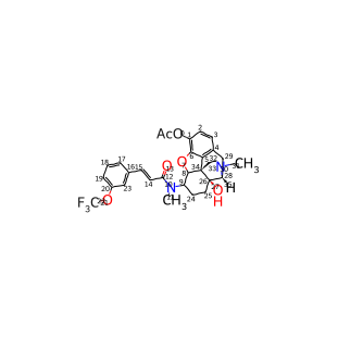 CC(=O)Oc1ccc2c3c1OC1C(N(C)C(=O)/C=C/c4cccc(OC(F)(F)F)c4)CC[C@@]4(O)[C@@H](C2)N(C)CC[C@]314